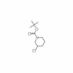 CC(C)(C)OC(=O)N1CCCC(Cl)C1